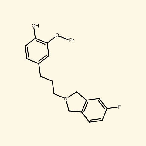 CC(C)Oc1cc(CCCN2Cc3ccc(F)cc3C2)ccc1O